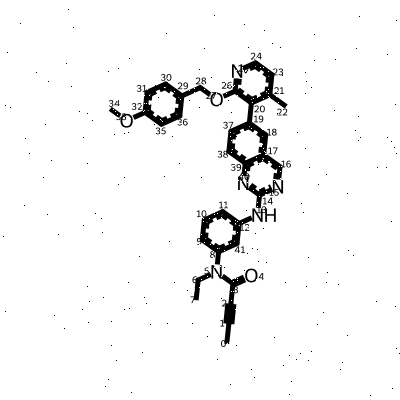 CC#CC(=O)N(CC)c1cccc(Nc2ncc3cc(-c4c(C)ccnc4OCc4ccc(OC)cc4)ccc3n2)c1